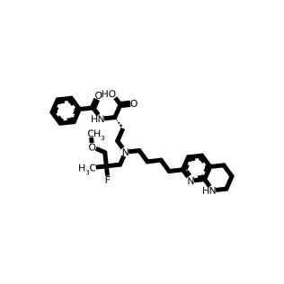 COCC(C)(F)CN(CCCCc1ccc2c(n1)NCCC2)CC[C@H](NC(=O)c1ccccc1)C(=O)O